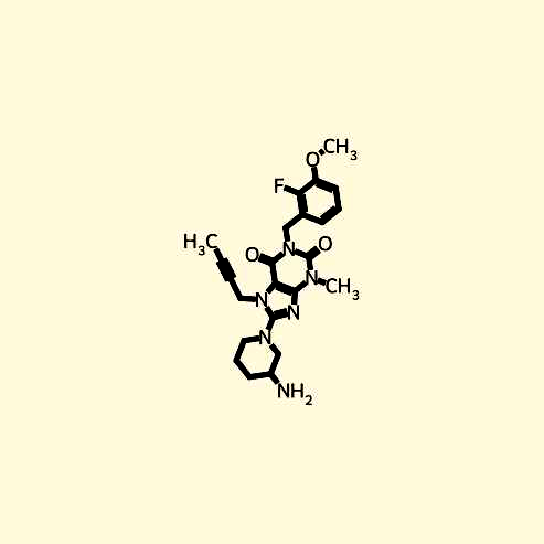 CC#CCn1c(N2CCCC(N)C2)nc2c1c(=O)n(Cc1cccc(OC)c1F)c(=O)n2C